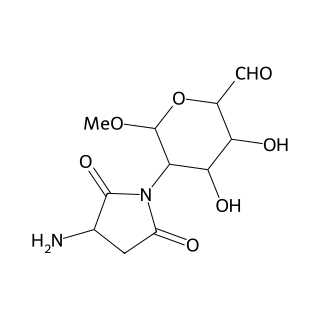 COC1OC(C=O)C(O)C(O)C1N1C(=O)CC(N)C1=O